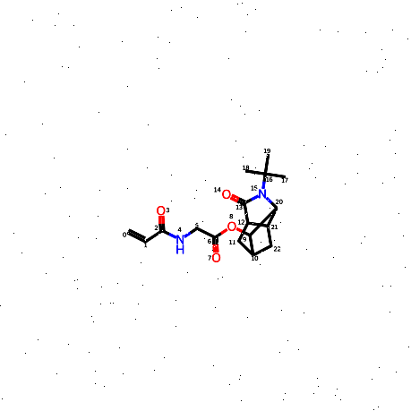 C=CC(=O)NCC(=O)OC1C2CC3C(=O)N(C(C)(C)C)C1C3C2